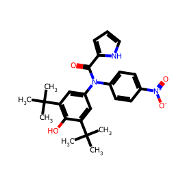 CC(C)(C)c1cc(N(C(=O)c2ccc[nH]2)c2ccc([N+](=O)[O-])cc2)cc(C(C)(C)C)c1O